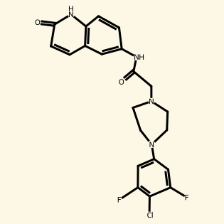 O=C(CN1CCN(c2cc(F)c(Cl)c(F)c2)CC1)Nc1ccc2[nH]c(=O)ccc2c1